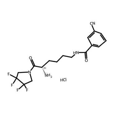 Cl.N#Cc1cccc(C(=O)NCCCC[C@H](N)C(=O)N2CC(F)(F)C(F)(F)C2)c1